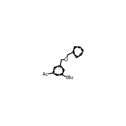 CC(=O)c1cc(COCc2ccccc2)cc(C(C)(C)C)c1